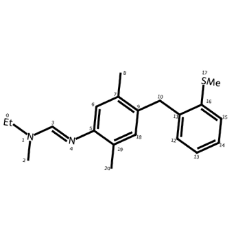 CCN(C)C=Nc1cc(C)c(Cc2ccccc2SC)cc1C